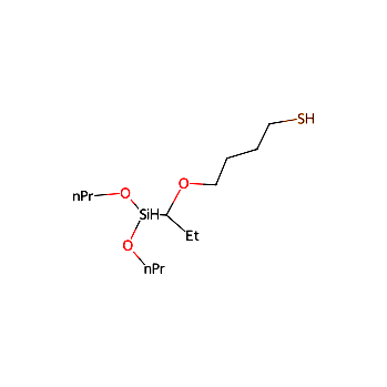 CCCO[SiH](OCCC)C(CC)OCCCCS